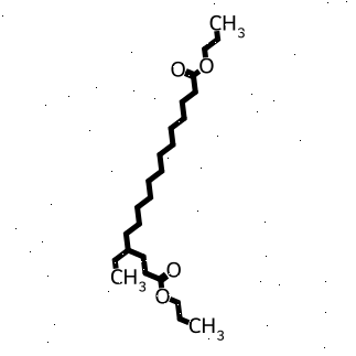 CCCOC(=O)CCCCCCCCCCCCC(CC)CCC(=O)OCCC